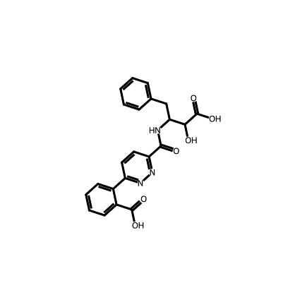 O=C(NC(Cc1ccccc1)C(O)C(=O)O)c1ccc(-c2ccccc2C(=O)O)nn1